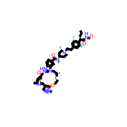 CCC[C@@H](C(=O)NC=O)c1c(F)cc(CCN2CC[C@H](N(C)C(=O)c3ccc4c(c3)N3C[C@H](C)CCCO/C(NC)=C(/C=N)c5cc(cc(C)n5)C(=O)/N=C/3N4)C[C@@H]2C)cc1F